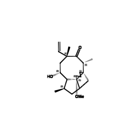 C=C[C@@]1(C)C[C@@H](O)C2[C@H](C)CC3C[C@]4(CC[C@@H](OC)[C@@]324)[C@@H](C)C1=O